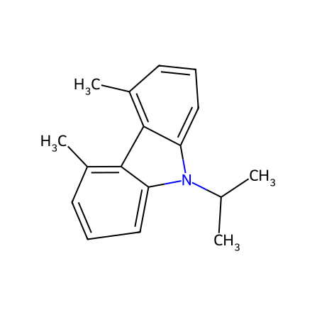 Cc1cccc2c1c1c(C)cccc1n2C(C)C